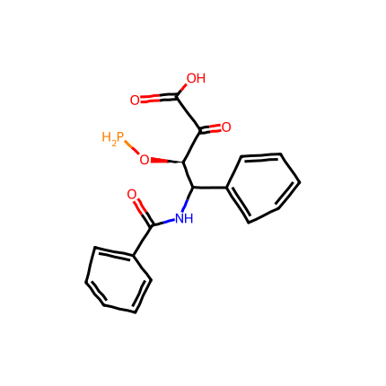 O=C(O)C(=O)[C@H](OP)C(NC(=O)c1ccccc1)c1ccccc1